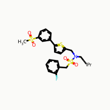 CC(C)CN(Cc1ccc(-c2cccc(S(C)(=O)=O)c2)s1)S(=O)(=O)Cc1ccccc1F